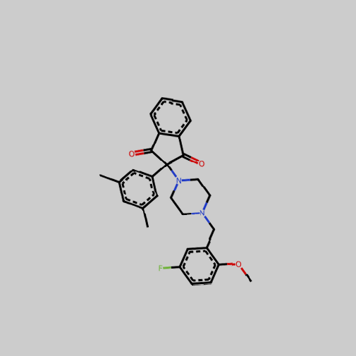 COc1ccc(F)cc1CN1CCN(C2(c3cc(C)cc(C)c3)C(=O)c3ccccc3C2=O)CC1